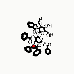 O=C(OC[C@H]1O[C@@H](O[C@H]2O[C@H](CO)[C@@H](O)[C@H](O)[C@@H]2N2C(=O)c3ccccc3C2=O)[C@H](OC(=O)c2ccccc2)[C@@H](OC(=O)c2ccccc2)[C@H]1OC(=O)c1ccccc1)c1ccccc1